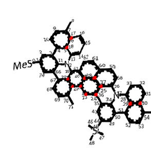 CSc1cc(-c2ccc(C)cc2)c(N(C2=CC=CCC2)c2ccc3ccc4c(N(c5ccccc5)c5c(-c6ccc(C)cc6)cc([Si](C)(C)C)cc5-c5ccc(C)cc5)ccc5ccc2c3c54)c(-c2ccc(C)cc2)c1